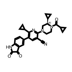 N#Cc1cc(-c2ccc3c(c2)C(=O)C(=O)N3)c(C2CC2)nc1N1CCN(C(=O)C2CC2)[C@H](C2CC2)C1